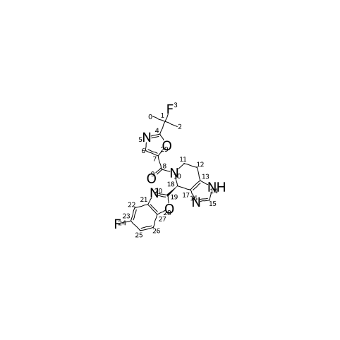 CC(C)(F)c1ncc(C(=O)N2CCc3[nH]cnc3[C@H]2c2nc3cc(F)ccc3o2)o1